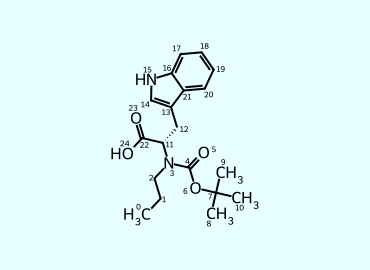 CCCN(C(=O)OC(C)(C)C)[C@@H](Cc1c[nH]c2ccccc12)C(=O)O